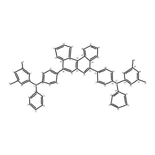 Cc1cc(C)cc(N(c2ccccc2)c2ccc(-c3cc4cc(-c5ccc(N(c6ccccc6)c6cc(C)cc(C)c6)cc5)c5ccccc5c4c4ccccc34)cc2)c1